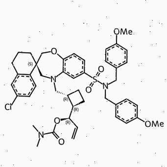 C=C[C@@H](OC(=O)N(C)C)[C@@H]1CC[C@H]1CN1C[C@@]2(CCCc3cc(Cl)ccc32)COc2ccc(S(=O)(=O)N(Cc3ccc(OC)cc3)Cc3ccc(OC)cc3)cc21